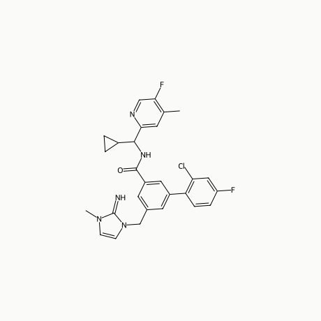 Cc1cc(C(NC(=O)c2cc(Cn3ccn(C)c3=N)cc(-c3ccc(F)cc3Cl)c2)C2CC2)ncc1F